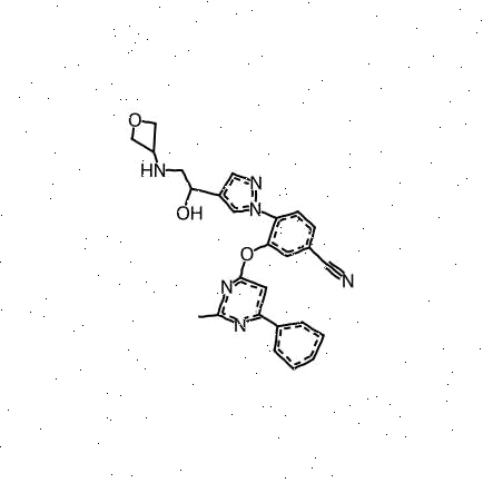 Cc1nc(Oc2cc(C#N)ccc2-n2cc(C(O)CNC3COC3)cn2)cc(-c2ccccc2)n1